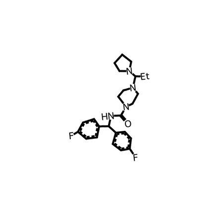 CCC(N1CCCC1)N1CCN(C(=O)NC(c2ccc(F)cc2)c2ccc(F)cc2)CC1